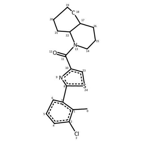 Cc1c(Cl)cccc1-c1nc(C(=O)N2CCCC3CCCCC32)cs1